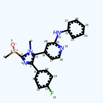 Cn1c([S+](C)[O-])nc(-c2ccc(F)cc2)c1-c1ccnc(Nc2ccccc2)c1